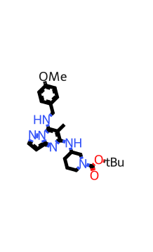 COc1ccc(CNc2c(C)c(NC3CCCN(C(=O)OC(C)(C)C)C3)nc3ccnn23)cc1